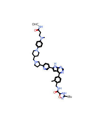 Cc1cc(-c2ncnc3[nH]c(-c4ccc(C5CCN(CC6CCN(c7ccc(N(C)CCC(=O)NC=O)cc7)CC6)C5)nc4)cc23)ccc1CNC(=O)C1NC(C(C)(C)C)=NO1